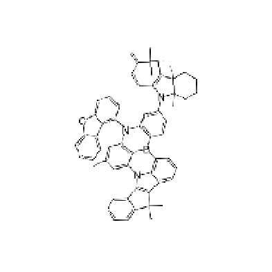 C=C(/C=C\C1=C(C)C2(C)CCCCC2(C)N1c1ccc2c(c1)N(c1cccc3oc4ccccc4c13)c1cc(C)cc3c1B2c1cccc2c4c(n-3c12)-c1ccccc1C4(C)C)C(C)(C)C